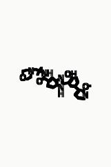 COc1ncccc1-c1ccc(O)c(-c2nc3cc(C(=O)NC(C)(C)CN4CCOCC4)ccc3[nH]2)c1